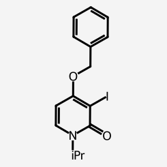 CC(C)n1ccc(OCc2ccccc2)c(I)c1=O